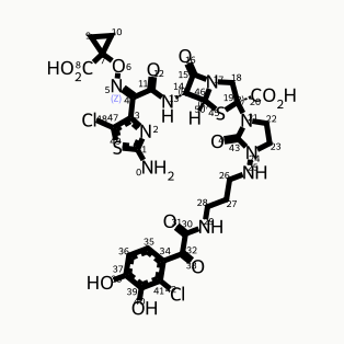 Nc1nc(/C(=N/OC2(C(=O)O)CC2)C(=O)N[C@@H]2C(=O)N3C[C@@](C(=O)O)(N4CCN(NCCCNC(=O)C(=O)c5ccc(O)c(O)c5Cl)C4=O)S[C@H]23)c(Cl)s1